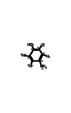 [2H]c1c([2H])c(O)c(Cl)c([2H])c1N